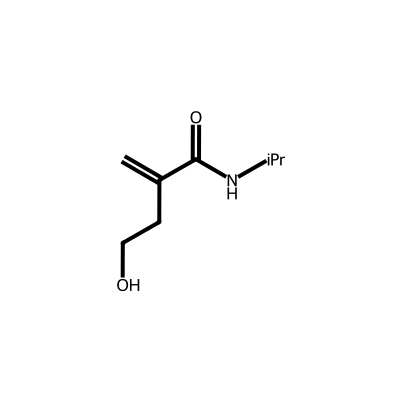 C=C(CCO)C(=O)NC(C)C